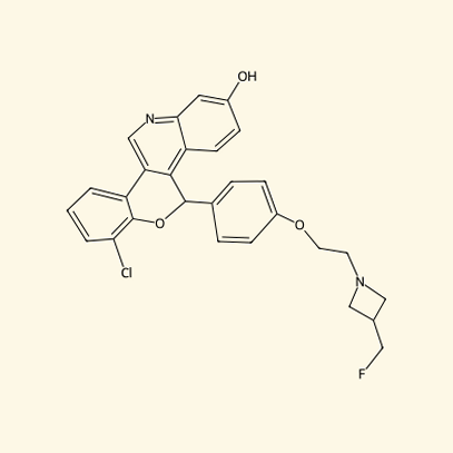 Oc1ccc2c3c(cnc2c1)-c1cccc(Cl)c1OC3c1ccc(OCCN2CC(CF)C2)cc1